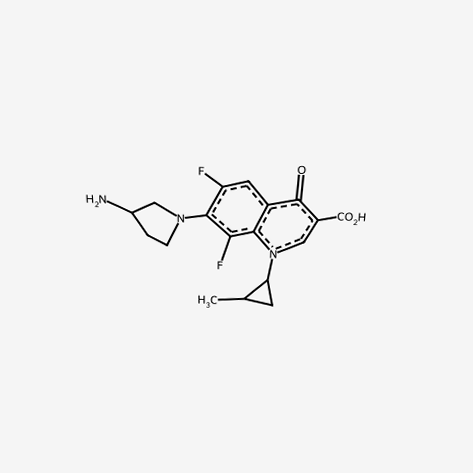 CC1CC1n1cc(C(=O)O)c(=O)c2cc(F)c(N3CCC(N)C3)c(F)c21